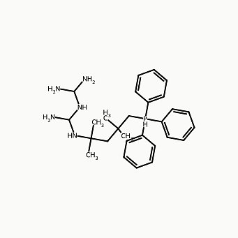 CC(C)(CC(C)(C)NC(N)NC(N)N)C[PH](c1ccccc1)(c1ccccc1)c1ccccc1